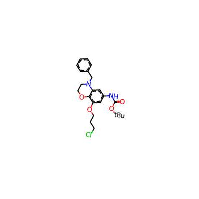 CC(C)(C)OC(=O)Nc1cc(OCCCCl)c2c(c1)N(Cc1ccccc1)CCO2